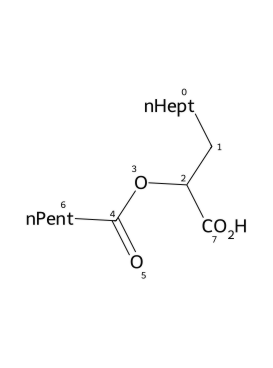 CCCCCCCCC(OC(=O)CCCCC)C(=O)O